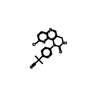 CC(C)(C#N)c1ccc(N2C(=O)NCc3cnc4ccc(Cl)nc4c32)cc1